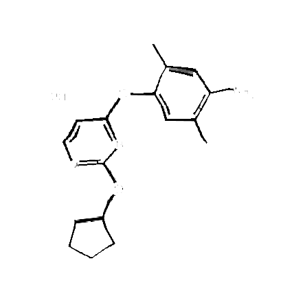 Cc1cc(Oc2ccnc(OC3CCCC3)n2)c(C)cc1N.Cl